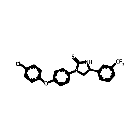 FC(F)(F)c1cccc(C2CN(c3ccc(Oc4ccc(Cl)cc4)cc3)C(=S)N2)c1